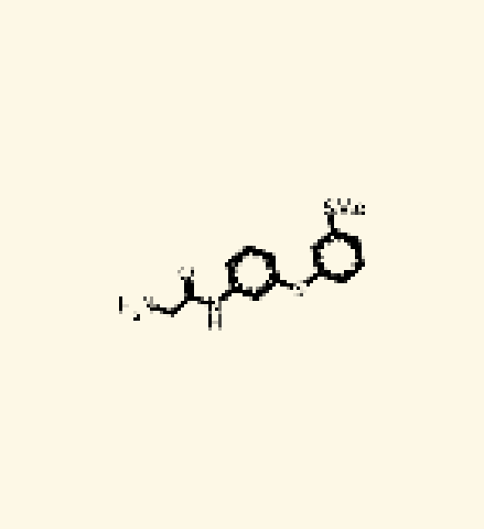 CSc1cccc(Sc2cccc(NC(=O)CN)c2)c1